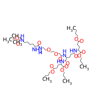 CCCCOC(=O)CCC(NC(=O)CCC(NC(=O)COCCOCCNC(=O)C(N)CCCCNC(=O)OC(C)(C)C)C(=O)NC(CCC(=O)OCCCC)C(=O)OCCCC)C(=O)OCCCC